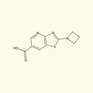 O=C(O)c1cnc2nc(N3CCC3)sc2c1